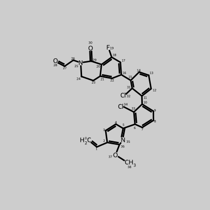 C=Cc1ccc(-c2cccc(-c3cccc(-c4cc(F)c5c(c4)CCN(CC=O)C5=O)c3Cl)c2Cl)nc1OC